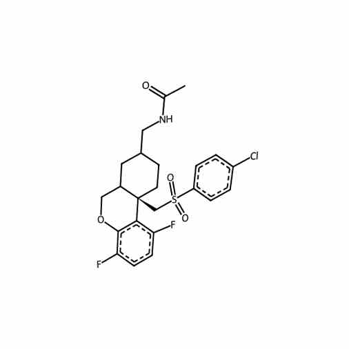 CC(=O)NCC1CC[C@]2(CS(=O)(=O)c3ccc(Cl)cc3)c3c(F)ccc(F)c3OCC2C1